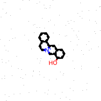 Oc1cccc2cc3c4ccccc4cc[n+]3cc12